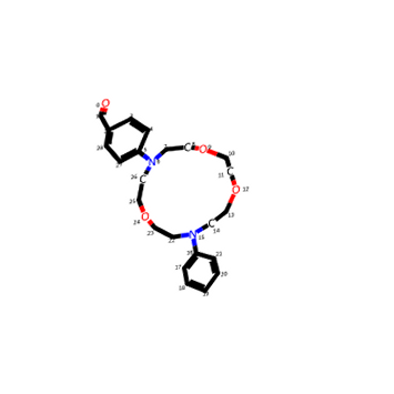 O=Cc1ccc(N2CCOCCOCCN(c3ccccc3)CCOCC2)cc1